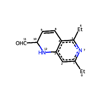 CCc1cc2c(c(CC)n1)C=CC(C=O)N2